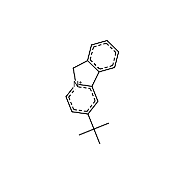 CC(C)(C)c1cc[n+]2c(c1)-c1ccccc1C2